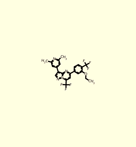 CCOc1cc(-c2cc(C(F)(F)F)n3ncc(-c4cc(C)nc(C)c4)c3n2)ccc1C(F)(F)F